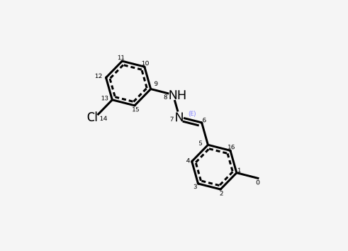 Cc1cccc(/C=N/Nc2cccc(Cl)c2)c1